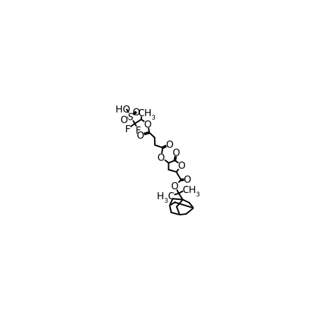 CC(OC(=O)CCC(=O)OC1CC(C(=O)OC(C)(C)C23CC4CC(CC(C4)C2)C3)OC1=O)C(F)(F)S(=O)(=O)O